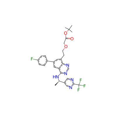 C[C@@H](Nc1ncnc2c(CCOCC(=O)OC(C)(C)C)cc(-c3ccc(F)cc3)cc12)c1cnc(C(F)(F)F)nc1